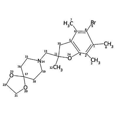 Cc1c(C)c2c(c(C)c1Br)CC(C)(CN1CCC3(CC1)OCCO3)O2